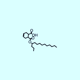 CCCCCCCCCCC(CCC)OC(=O)C1CC=CCC1C(=O)O